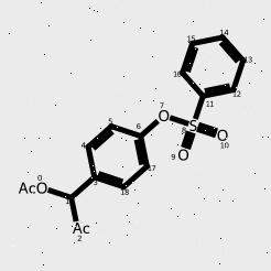 CC(=O)OC(C(C)=O)c1ccc(OS(=O)(=O)c2ccccc2)cc1